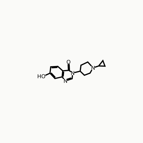 O=c1c2ccc(O)cc2ncn1C1CCN(C2CC2)CC1